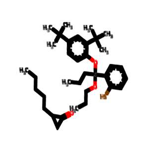 CCCCCC1CC1=O.CCCO[Si](CCC)(Oc1ccc(C(C)(C)C)cc1C(C)(C)C)c1ccccc1S